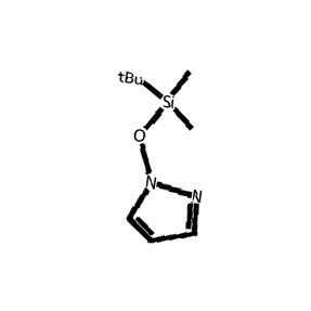 CC(C)(C)[Si](C)(C)On1cccn1